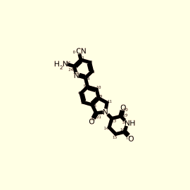 N#Cc1ccc(-c2ccc3c(c2)CN(C2CCC(=O)NC2=O)C3=O)nc1N